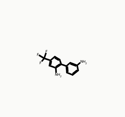 Nc1cccc(-c2ccc(C(F)(F)F)cc2N)c1